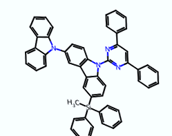 C[Si](c1ccccc1)(c1ccccc1)c1ccc2c(c1)c1cc(-n3c4ccccc4c4ccccc43)ccc1n2-c1nc(-c2ccccc2)cc(-c2ccccc2)n1